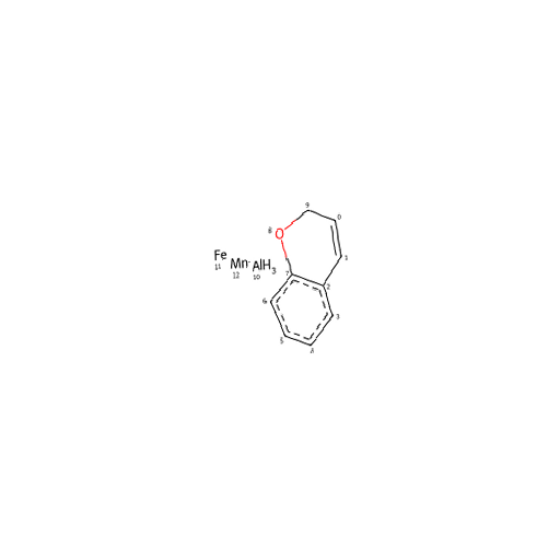 C1=Cc2ccccc2OC1.[AlH3].[Fe].[Mn]